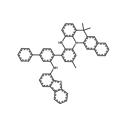 Cc1cc(-c2ccc(-c3ccccc3)cc2Nc2cccc3c2sc2ccccc23)c2c(c1)N1c3cc4ccccc4cc3C(C)(C)c3cccc(c31)B2